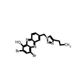 CCCc1cn(Cc2ccc3nc4c(O)c(Br)cc(Br)c4nc3c2)nn1